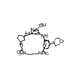 CC(C)(C)n1nc2cc1Nc1cc(N3CCOCC3)cc(n1)C(=O)NCCCNC(=O)O[C@@H]1CC[C@H]2C1